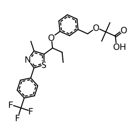 CCC(Oc1cccc(COC(C)(C)C(=O)O)c1)c1sc(-c2ccc(C(F)(F)F)cc2)nc1C